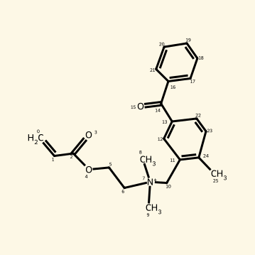 C=CC(=O)OCC[N+](C)(C)Cc1cc(C(=O)c2ccccc2)ccc1C